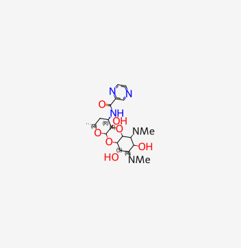 CNC1C2O[C@]3(O)C(OC2[C@@H](O)[C@H](NC)C1O)O[C@H](C)C[C@H]3NC(=O)c1cnccn1